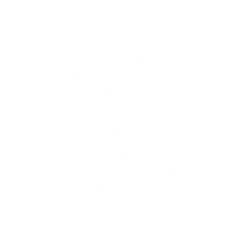 c1ccc(-c2ccc(N(c3ccc(-c4cc5c6c(c4)Cc4cc(-c7ccccc7)ccc4N6c4ccc(-c6ccccc6)cc4C5)cc3)c3ccc4ccccc4c3)cc2)cc1